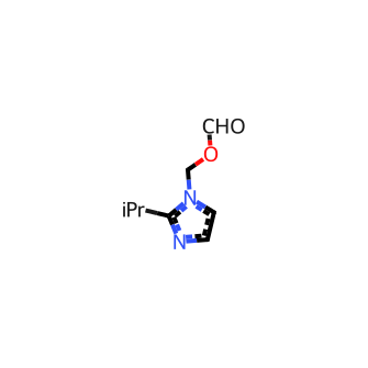 CC(C)c1nccn1COC=O